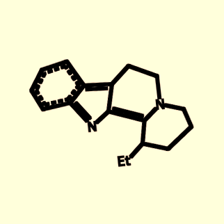 CCC1CCCN2CCC3=c4ccccc4=NC3=C12